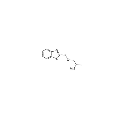 CC(O)CSSc1nc2ccccc2s1